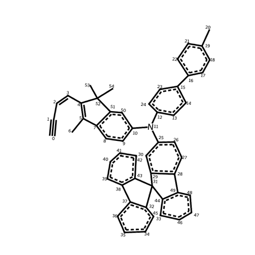 C#C/C=C\C1=C(C)c2ccc(N(c3ccc(-c4ccc(C)cc4)cc3)c3ccc4c(c3)C3(c5ccccc5-c5ccccc53)c3ccccc3-4)cc2C1(C)C